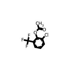 CC(=O)Oc1c(Cl)cccc1C(F)(F)F